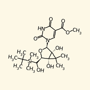 COC(=O)c1cn([C@@H]2O[C@H](C(O)[Si](C)(C)C(C)(C)C)[C@]3(O)C(C)(C)[C@]23O)c(=O)[nH]c1=O